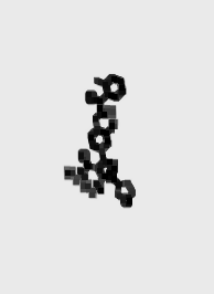 Cc1ccccc1C(=O)NCc1ccc(-c2nn(C3CCOC3)c(N)c2C(N)=O)cc1F